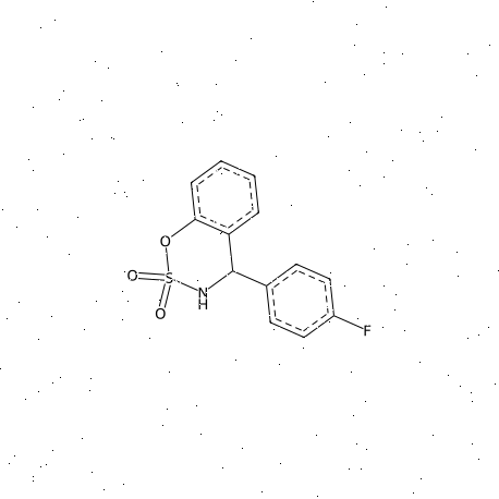 O=S1(=O)NC(c2ccc(F)cc2)c2ccccc2O1